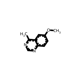 COc1ccc2ncnc(C)c2c1